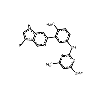 CNc1cc(C)nc(Nc2ccc(OC)c(-c3cc4[nH]cc(F)c4cn3)c2)n1